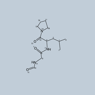 CC(C)CC(NC(=O)CNC=O)C(=O)N1CCCC1